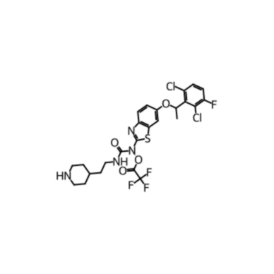 CC(Oc1ccc2nc(N(OC(=O)C(F)(F)F)C(=O)NCCC3CCNCC3)sc2c1)c1c(Cl)ccc(F)c1Cl